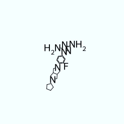 Nc1nc(N)n(-c2ccc(N3CC4CN(C5CCCC5)CC4C3)c(F)c2)n1